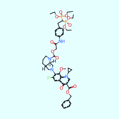 CCOP(=O)(OCC)C(Cc1ccc(NC(=O)COC(=O)N2CCC[C@H]3CN(c4c(F)cc5c(=O)c(C(=O)OCc6ccccc6)cn(C6CC6)c5c4OC)C[C@H]32)cc1)P(=O)(OCC)OCC